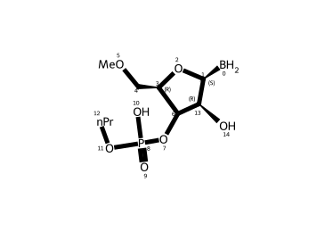 B[C@@H]1O[C@H](COC)C(OP(=O)(O)OCCC)[C@@H]1O